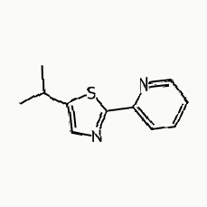 CC(C)c1cnc(-c2ccccn2)s1